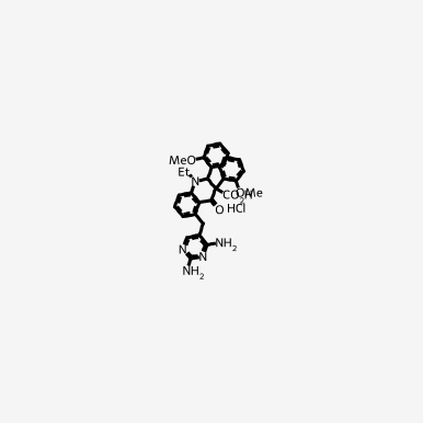 CCN1c2cccc(Cc3cnc(N)nc3N)c2C(=O)C(C(=O)O)(c2ccccc2OC)C1c1ccccc1OC.Cl